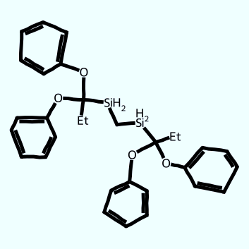 CCC(Oc1ccccc1)(Oc1ccccc1)[SiH2]C[SiH2]C(CC)(Oc1ccccc1)Oc1ccccc1